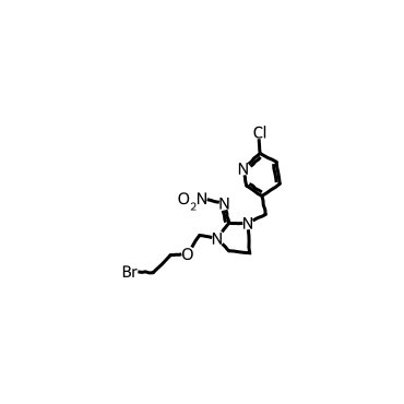 O=[N+]([O-])N=C1N(COCCBr)CCN1Cc1ccc(Cl)nc1